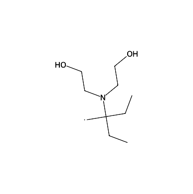 [CH2]C(CC)(CC)N(CCO)CCO